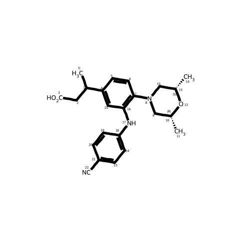 CC(CC(=O)O)c1ccc(N2C[C@@H](C)O[C@@H](C)C2)c(Nc2ccc(C#N)cc2)c1